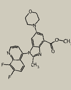 COC(=O)c1cc(N2CCOCC2)cc2c1nc(C)n2-c1ccnc2c(F)c(F)ccc12